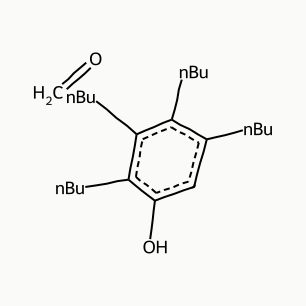 C=O.CCCCc1cc(O)c(CCCC)c(CCCC)c1CCCC